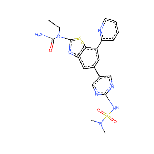 CCN(C(N)=O)c1nc2cc(-c3cnc(NS(=O)(=O)N(C)C)nc3)cc(-c3ccccn3)c2s1